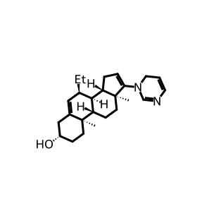 CC[C@@H]1C=C2C[C@@H](O)CC[C@]2(C)[C@H]2CC[C@]3(C)C(N4C=NC=CC4)=CC[C@H]3[C@H]12